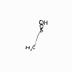 CCCCCCCCCCCCCSc1ccc(O)cc1